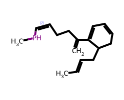 C=C(CC/C=C\PC)C1=CC=CCC1CC=CC